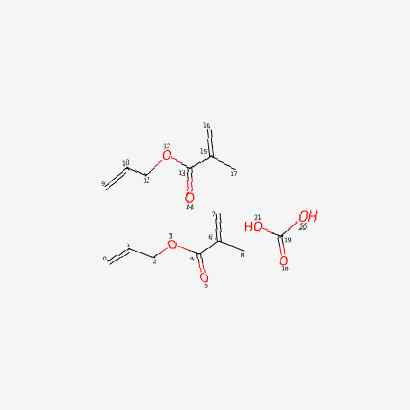 C=CCOC(=O)C(=C)C.C=CCOC(=O)C(=C)C.O=C(O)O